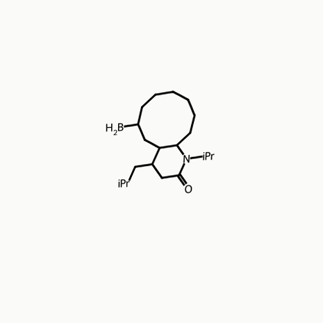 BC1CCCCCCC2C(C1)C(CC(C)C)CC(=O)N2C(C)C